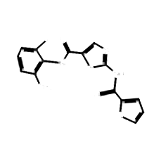 Cc1cccc(Cl)c1NC(=O)c1cnc(NC(=O)c2cccs2)[se]1